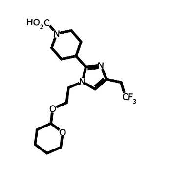 O=C(O)N1CCC(c2nc(CC(F)(F)F)cn2CCOC2CCCCO2)CC1